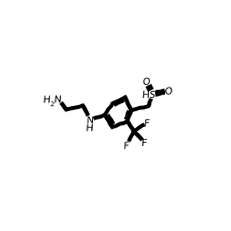 NCCNc1ccc(C[SH](=O)=O)c(C(F)(F)F)c1